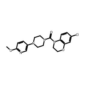 COc1ccc(N2CCN(C(=O)N3CCOc4cc(Cl)ccc43)CC2)cn1